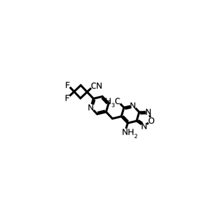 Cc1nc2nonc2c(N)c1Cc1ccc(C2(C#N)CC(F)(F)C2)nc1